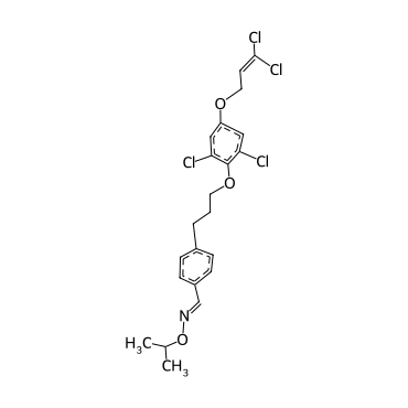 CC(C)ON=Cc1ccc(CCCOc2c(Cl)cc(OCC=C(Cl)Cl)cc2Cl)cc1